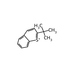 CC(C)(C)c1ccc2ccccc2[s+]1